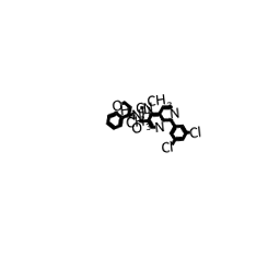 CN(C)c1c(C(=O)N[C@]2(C)CCOc3ccccc32)cnc2c(-c3cc(Cl)cc(Cl)c3)nccc12